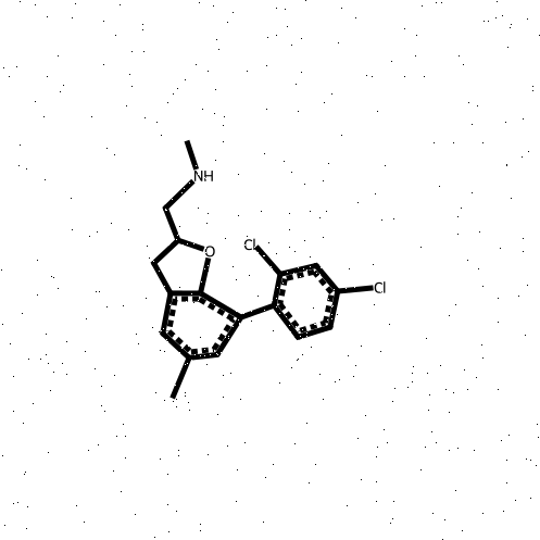 CNCC1Cc2cc(C)cc(-c3ccc(Cl)cc3Cl)c2O1